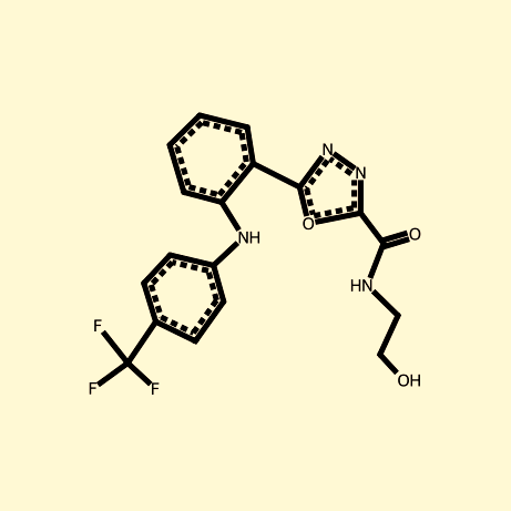 O=C(NCCO)c1nnc(-c2ccccc2Nc2ccc(C(F)(F)F)cc2)o1